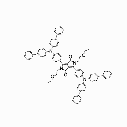 CCOCCN1C(=O)C2=C(c3ccc(N(c4ccc(-c5ccccc5)cc4)c4ccc(-c5ccccc5)cc4)cc3)N(CCOCC)C(=O)C2=C1c1ccc(N(c2ccc(-c3ccccc3)cc2)c2ccc(-c3ccccc3)cc2)cc1